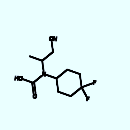 CC(CO)N(C(=O)O)C1CCC(F)(F)CC1